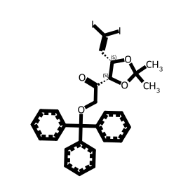 CC1(C)O[C@@H](C=C(I)I)[C@@H](C(=O)COC(c2ccccc2)(c2ccccc2)c2ccccc2)O1